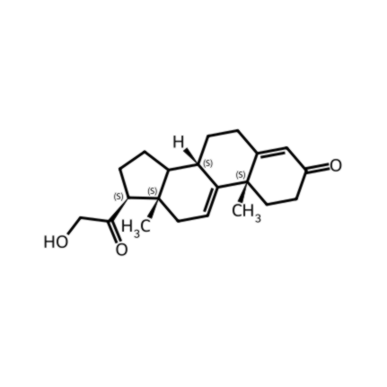 C[C@]12CCC(=O)C=C1CC[C@@H]1C2=CC[C@@]2(C)C1CC[C@@H]2C(=O)CO